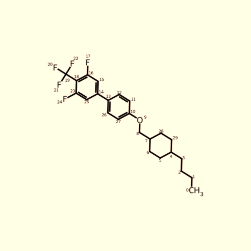 CCCCC1CCC(COc2ccc(-c3cc(F)c(C(F)(F)F)c(F)c3)cc2)CC1